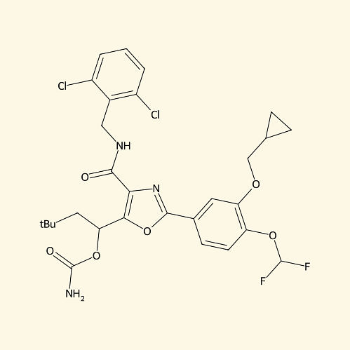 CC(C)(C)CC(OC(N)=O)c1oc(-c2ccc(OC(F)F)c(OCC3CC3)c2)nc1C(=O)NCc1c(Cl)cccc1Cl